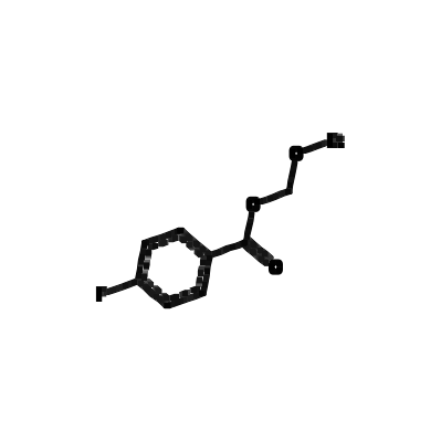 CCOCOC(=O)c1ccc(F)cc1